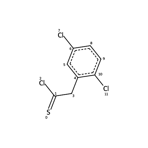 S=C(Cl)Cc1cc(Cl)ccc1Cl